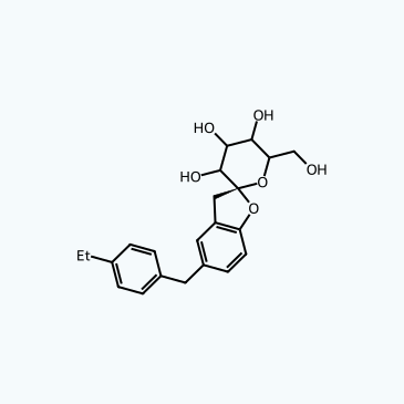 CCc1ccc(Cc2ccc3c(c2)C[C@]2(O3)OC(CO)C(O)C(O)C2O)cc1